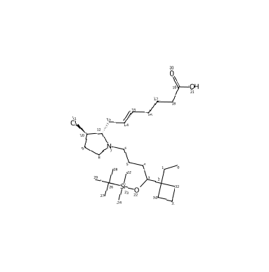 CCC1(C(CCCN2CC[C@@H](Cl)[C@@H]2CC=CCCCC(=O)O)O[Si](C)(C)C(C)(C)C)CCC1